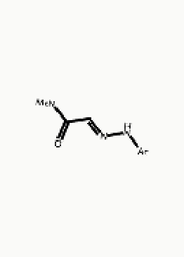 CNC(=O)/C=N/NC(C)=O